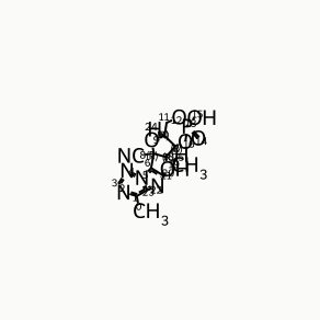 Cc1ncnn2c([C@]3(C#N)O[C@@H]4COP(=O)(O)O[C@H]4[C@@]3(C)O)cnc12